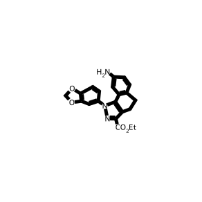 CCOC(=O)c1nn(-c2ccc3c(c2)OCO3)c2c1CCc1ccc(N)cc1-2